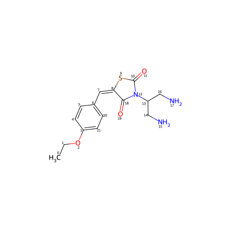 CCOc1ccc(/C=C2/SC(=O)N(C(CN)CN)C2=O)cc1